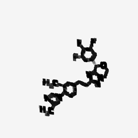 Cc1cn(-c2ccc(/C=C/c3nc4n(n3)CCO[C@H]4c3cc(F)c(F)c(F)c3)cc2C)cn1